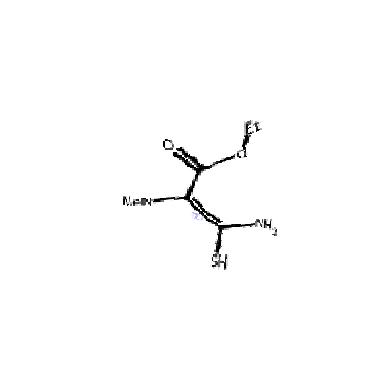 CCOC(=O)/C(NC)=C(\N)S